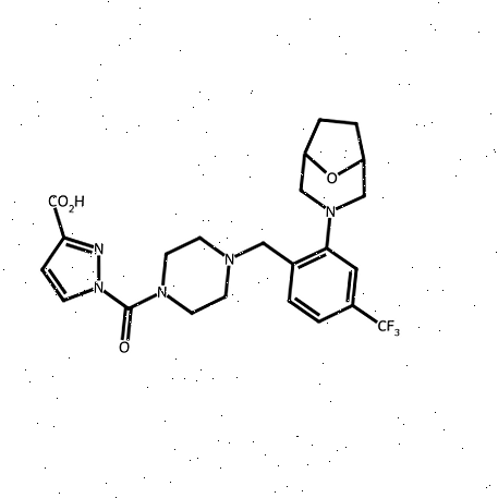 O=C(O)c1ccn(C(=O)N2CCN(Cc3ccc(C(F)(F)F)cc3N3CC4CCC(C3)O4)CC2)n1